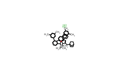 Cc1cc(C)cc(-c2cccc3c2C=C(CC24CCC(CC2)C4)[CH]3[Zr]([CH3])([CH3])(=[SiH2])[CH]2C(CC34CCC(CC3)C4)=Cc3c(-c4cc(C)cc(C)c4)cccc32)c1.Cl.Cl